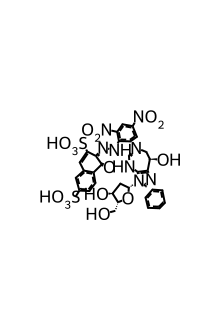 O=C1/C(=N\Nc2ccc([N+](=O)[O-])cc2[N+](=O)[O-])C(S(=O)(=O)O)=Cc2cc(S(=O)(=O)O)ccc21.OC[C@H]1O[C@@H](n2cnc3c2NC=NC[C@H]3O)C[C@@H]1O.c1ccccc1